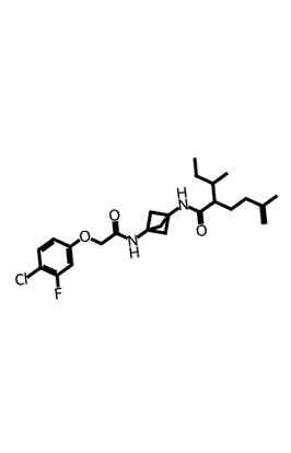 C=C(C)CCC(C(=O)NC12CC(NC(=O)COc3ccc(Cl)c(F)c3)(C1)C2)C(C)CC